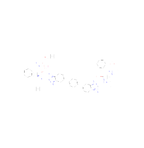 COC(=O)N[C@@H](C(=O)N1[C@@H]2CCCC[C@@H]2C[C@H]1c1nc2cc(-c3ccc(-c4ccc5[nH]c([C@@H]6C[C@H]7CCCC[C@H]7N6C(=O)[C@H](NC6OCO6)c6ccccc6)nc5c4)cc3)ccc2[nH]1)c1ccccc1